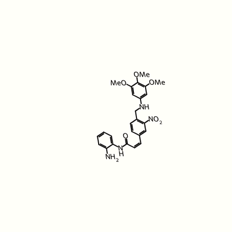 COc1cc(NCc2ccc(/C=C\C(=O)Nc3ccccc3N)cc2[N+](=O)[O-])cc(OC)c1OC